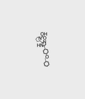 O=C(O)N1CCCC1c1ncc(-c2ccc(OCc3ccccc3)cc2)[nH]1